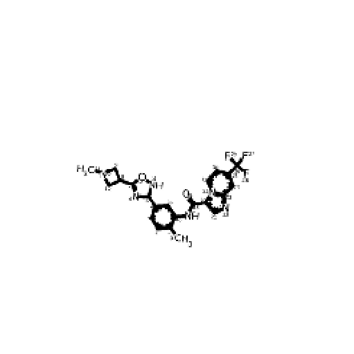 Cc1ccc(C2N=C(C3CN(C)C3)ON2)cc1NC(=O)c1cnc2cc(C(F)(F)F)ccn12